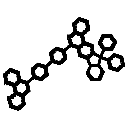 C1=CC2c3cc4c(-c5ccc(-c6ccc(-c7cc8cccnc8c8ncccc78)cc6)cc5)nc5ccccc5c4cc3C(c3ccccc3)(c3ccccc3)C2C=C1